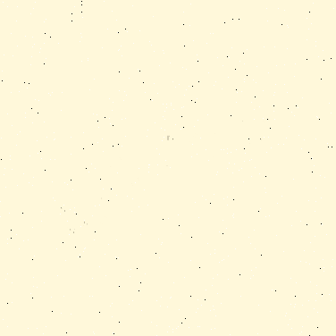 CC(C)(Cc1cccc(NC(=O)Cc2ccc(-c3ccn4ncnc4c3)cc2)c1)C(N)=O